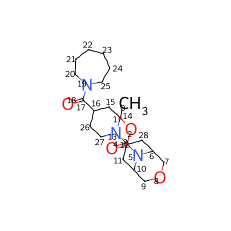 CCOC(=O)N1C2COCC1CC(N1CCC(C(=O)N3CCCCCC3)CC1)C2